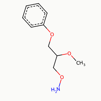 COC(CON)COc1ccccc1